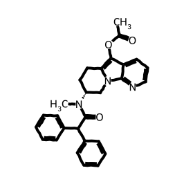 CC(=O)Oc1c2n(c3ncccc13)C[C@H](N(C)C(=O)C(c1ccccc1)c1ccccc1)CC2